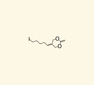 C=C1OCC(=CCCCCI)CO1